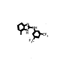 Cc1cccc2nc(Nc3cc(C(F)(F)F)cc(C(F)(F)F)c3)[nH]c12